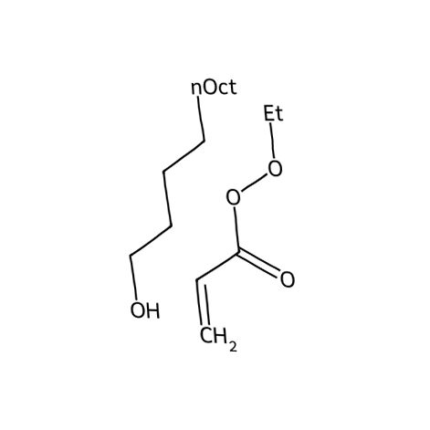 C=CC(=O)OOCC.CCCCCCCCCCCCO